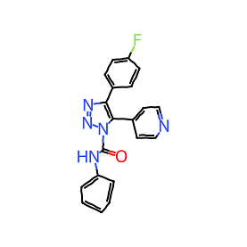 O=C(Nc1ccccc1)n1nnc(-c2ccc(F)cc2)c1-c1ccncc1